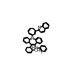 CC1C=CCCC1C1=C(Nc2ccccc2)c2ccccc2N(C2=CC=CCC(c3ccc4ccccc4n3)=C2)C2C=CC=CC12